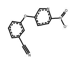 N#Cc1cccc(Oc2ccc([N+](=O)[O-])nc2)c1